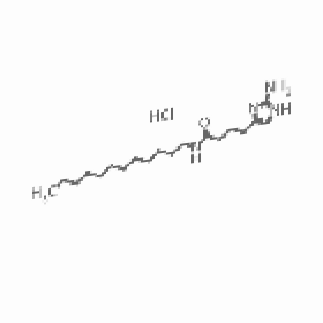 CCCCCCCCCCCCNC(=O)CCCc1c[nH]c(N)n1.Cl